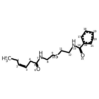 CC/C=C\CC(=O)NCCSCCNC(=O)c1ccccc1